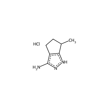 CC1CCc2c(N)n[nH]c21.Cl